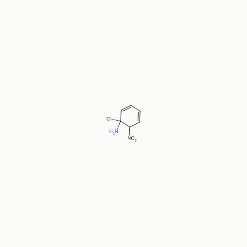 NC1(Cl)C=CC=CC1[N+](=O)[O-]